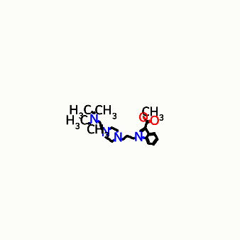 COC(=O)c1cn(CCCN2CCN(CCN(C(C)C)C(C)C)CC2)c2ccccc12